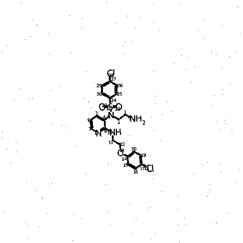 NCCN(c1cccnc1NCCOc1ccc(Cl)cc1)S(=O)(=O)c1ccc(Cl)cc1